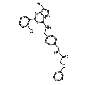 O=C(COc1ccccc1)NCc1ccc(CNc2cc(-c3ccccc3Cl)nc3c(Br)cnn23)cc1